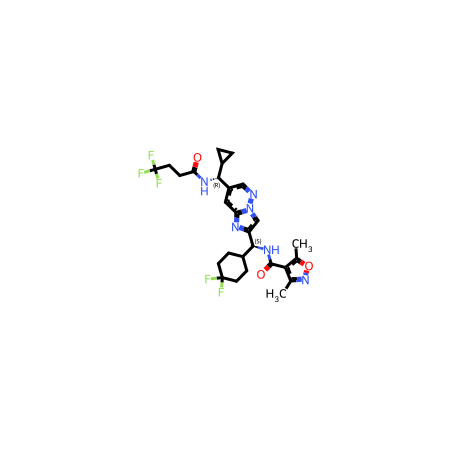 Cc1noc(C)c1C(=O)N[C@H](c1cn2ncc([C@H](NC(=O)CCC(F)(F)F)C3CC3)cc2n1)C1CCC(F)(F)CC1